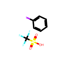 Ic1ccccc1.O=S(=O)(O)C(F)(F)F